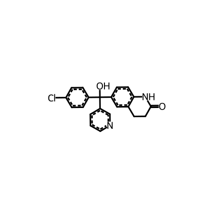 O=C1CCc2cc(C(O)(c3ccc(Cl)cc3)c3cccnc3)ccc2N1